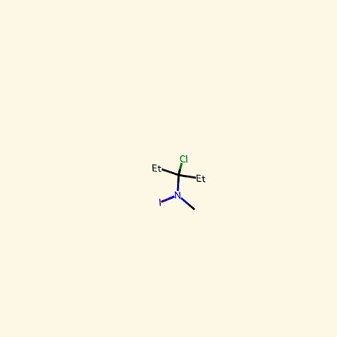 CCC(Cl)(CC)N(C)I